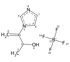 C=C(C(C)O)n1ccnc1.F[B-](F)(F)F